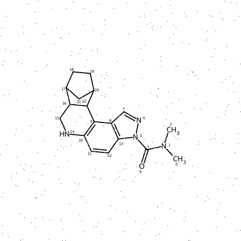 CN(C)C(=O)n1ncc2c3c(ccc21)NCC1C2CCC(C2)C31